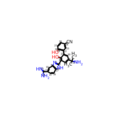 CC(C)(N)c1cc(-c2nc3cc(C(=N)N)ccc3[nH]2)c(O)c(-c2cc(C#N)ccc2O)c1